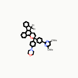 CCC1(CC)c2ccccc2-c2c1c1c(c3ccccc23)OC(c2ccc(-c3nc(OC)cc(OC)n3)cc2)(c2ccc(N3CCOCC3)cc2)C=C1